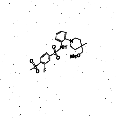 COCC1(C)CCN(c2ccccc2NS(=O)(=O)c2ccc(S(C)(=O)=O)c(F)c2)CC1